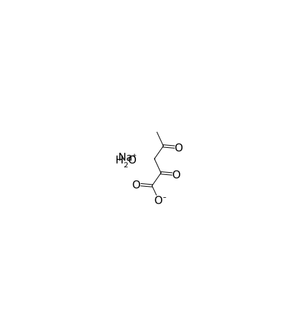 CC(=O)CC(=O)C(=O)[O-].O.[Na+]